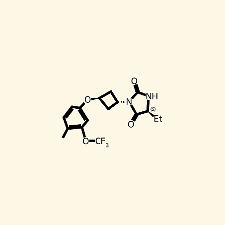 CC[C@@H]1NC(=O)N([C@H]2C[C@H](Oc3ccc(C)c(OC(F)(F)F)c3)C2)C1=O